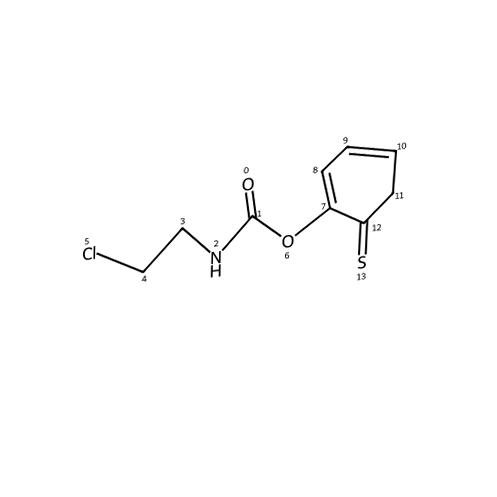 O=C(NCCCl)OC1=CC=CCC1=S